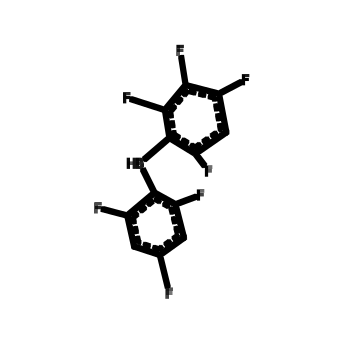 Fc1cc(F)c(Bc2c(F)cc(F)c(F)c2F)c(F)c1